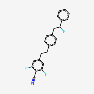 N#Cc1c(F)cc(CCc2ccc(C[C@H](F)c3ccccc3)cc2)cc1F